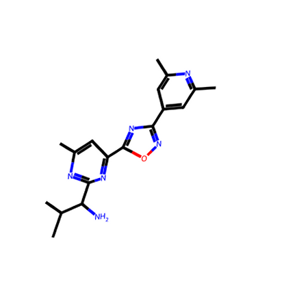 Cc1cc(-c2noc(-c3cc(C)nc(C(N)C(C)C)n3)n2)cc(C)n1